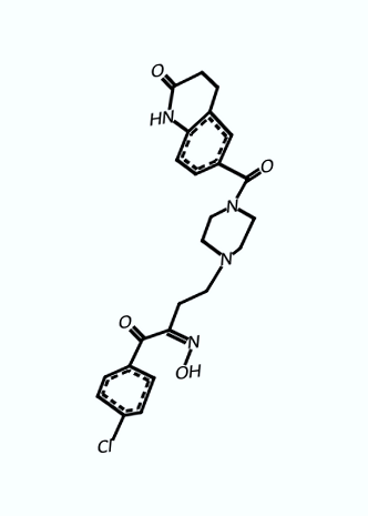 O=C1CCc2cc(C(=O)N3CCN(CCC(=NO)C(=O)c4ccc(Cl)cc4)CC3)ccc2N1